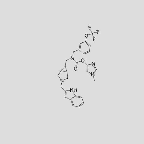 Cn1cnc(OC(=O)N(Cc2cccc(OC(F)(F)F)c2)CC2C3CN(Cc4cc5ccccc5[nH]4)CC32)c1